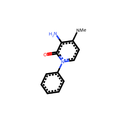 CNc1ccn(-c2ccccc2)c(=O)c1N